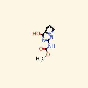 COC(=O)Nc1nc(O)c2cccn2n1